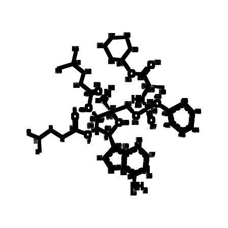 CC(C)CCC(=O)O[C@H]1[C@H](c2ccc3c(N)ncnn23)O[C@](C#N)(CO[P@@](=O)(N[C@@H](C)C(=O)OC2CCCCC2)Oc2ccccc2)[C@H]1OC(=O)CCC(C)C